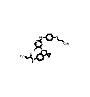 C=CC(=O)Nc1ccc2c(c1)N(c1nc(Nc3ccc(OCCOC)cc3)ncc1F)CC21CC1